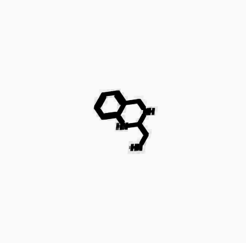 [NH]CC1NCc2ccccc2N1